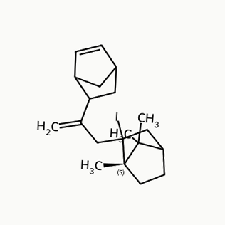 C=C(CC1(I)CC2CC[C@@]1(C)C2(C)C)C1CC2C=CC1C2